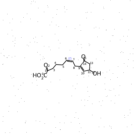 O=C(O)C(=O)CCC/C=C\CC1=CC(O)CC1=O